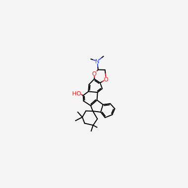 CN(C)C1COc2cc3c4c(cc(O)c3cc2O1)C1(CC(C)(C)CC(C)(C)C1)c1ccccc1-4